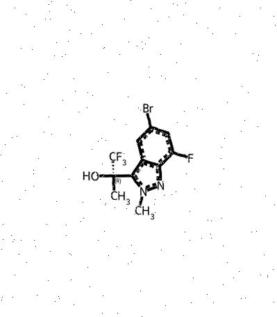 Cn1nc2c(F)cc(Br)cc2c1[C@@](C)(O)C(F)(F)F